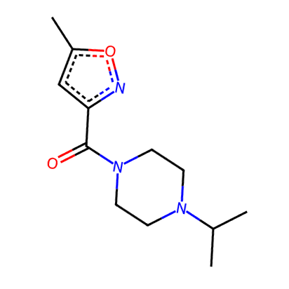 Cc1cc(C(=O)N2CCN(C(C)C)CC2)no1